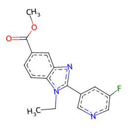 CCn1c(-c2cncc(F)c2)nc2cc(C(=O)OC)ccc21